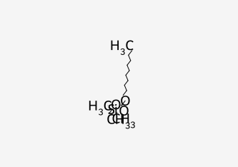 CCCCCCCCCCCOC(=O)O[Si](C)(CC)CC